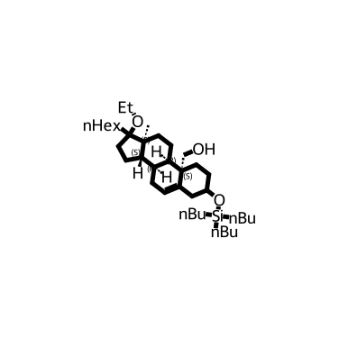 CCCCCCC1(OCC)CC[C@H]2[C@@H]3CC=C4CC(O[Si](CCCC)(CCCC)CCCC)CC[C@]4(CO)[C@@H]3CC[C@@]21C